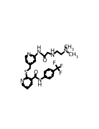 CN(C)CCNCC(=O)Nc1cc(CSc2ncccc2C(=O)Nc2ccc(C(F)(F)F)cc2)ccn1